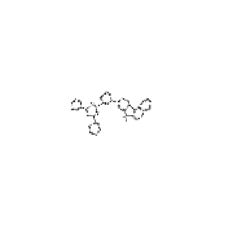 CC1(C)c2cc(-c3cccc(-c4nc(-c5ccccc5)cc(-c5ccccc5)n4)c3)ccc2-c2c1ccc1ccccc21